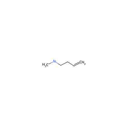 C=CCC[N]C